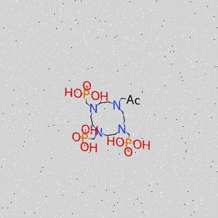 CC(=O)CN1CCN(CP(=O)(O)O)CCN(CP(=O)(O)O)CCN(CP(=O)(O)O)CC1